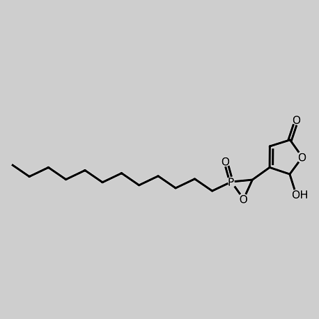 CCCCCCCCCCCCP1(=O)OC1C1=CC(=O)OC1O